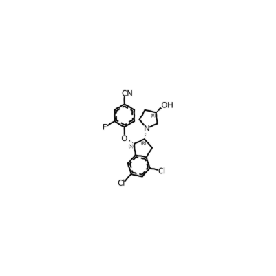 N#Cc1ccc(O[C@H]2c3cc(Cl)cc(Cl)c3C[C@H]2N2CC[C@@H](O)C2)c(F)c1